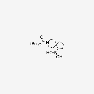 CC(C)(C)OC(=O)N1CCC2(CCC=C2B(O)O)CC1